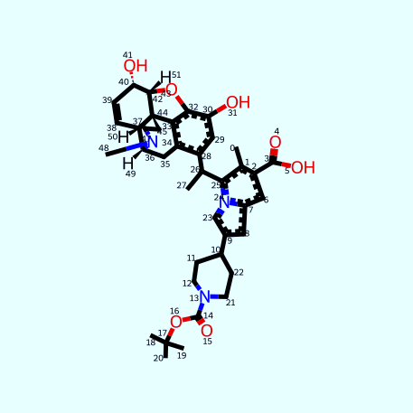 Cc1c(C(=O)O)cc2cc(C3CCN(C(=O)OC(C)(C)C)CC3)cn2c1C(C)c1cc(O)c2c3c1C[C@@H]1[C@@H]4C=C[C@H](O)[C@H](O2)[C@]34CCN1C